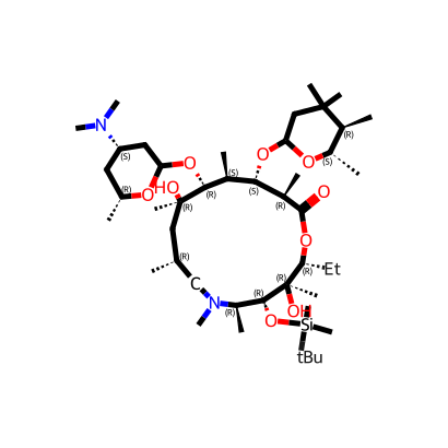 CC[C@H]1OC(=O)[C@H](C)[C@@H](OC2CC(C)(C)[C@@H](C)[C@H](C)O2)[C@H](C)[C@@H](OC2C[C@@H](N(C)C)C[C@@H](C)O2)[C@](C)(O)C[C@@H](C)CN(C)[C@H](C)[C@@H](O[Si](C)(C)C(C)(C)C)[C@]1(C)O